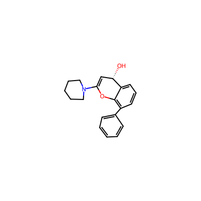 O[C@H]1C=C(N2CCCCC2)Oc2c(-c3ccccc3)cccc21